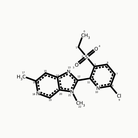 CCS(=O)(=O)c1ccc(Cl)nc1-c1nc2cc(C)ncc2n1C